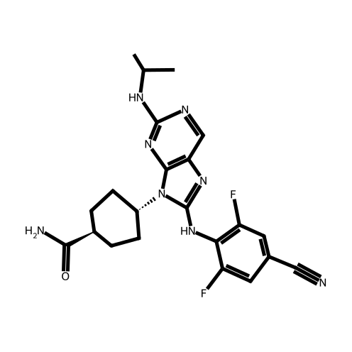 CC(C)Nc1ncc2nc(Nc3c(F)cc(C#N)cc3F)n([C@H]3CC[C@H](C(N)=O)CC3)c2n1